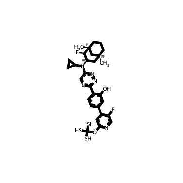 C[C@]12CCC[C@](C)(C1)[C@H](F)[C@H](N(c1cnc(-c3ccc(-c4cc(OC(S)(S)S)ncc4F)cc3O)nn1)C1CC1)C2